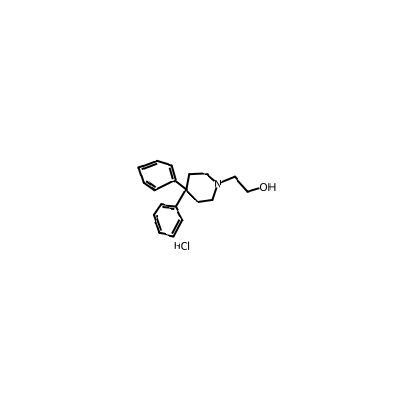 Cl.OCCN1CCC(c2ccccc2)(c2ccccc2)CC1